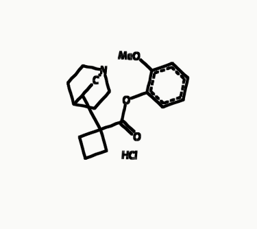 COc1ccccc1OC(=O)C1(C2CN3CCC2CC3)CCC1.Cl